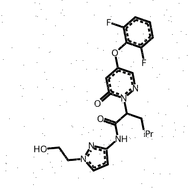 CC(C)CC(C(=O)Nc1ccn(CCO)n1)n1ncc(Oc2c(F)cccc2F)cc1=O